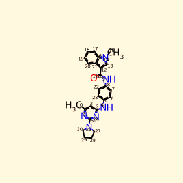 Cc1cc(Nc2ccc(NC(=O)c3cn(C)c4ccccc34)cc2)nc(N2CCCC2)n1